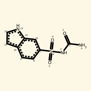 NC(=O)NS(=O)(=O)c1ccc2cc[nH]c2c1